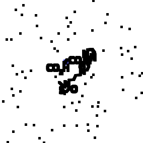 CC1SCC(=O)N1CCCCN1CCN(c2ncccn2)CC1.O=C(O)/C=C\C(=O)O